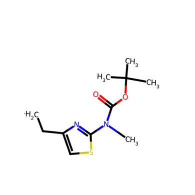 [CH2]Cc1csc(N(C)C(=O)OC(C)(C)C)n1